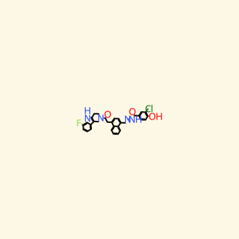 O=C(N/N=C/c1ccc(CC(=O)N2CCc3[nH]c4c(F)cccc4c3C2)c2ccccc12)c1ccc(O)c(Cl)c1